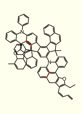 C=C/C=C\c1c(CC)oc2c1CCC=C2c1ccccc1N(c1ccccc1)c1cc2c(c3c1C(C)(C)c1ccc4ccccc4c1-3)-c1ccc(N(c3ccccc3)c3ccccc3-c3cccc4c3OC3C(C)=CCCC43)cc1C21C2C=CC=CC2C2C=CC=CC21